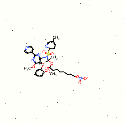 COc1ccccc1Oc1c(OC)nc(-c2ccncc2)nc1N(C(C)(C)OC(=O)CCCCCCCO[N+](=O)[O-])S(=O)(=O)c1ccc(C)cn1